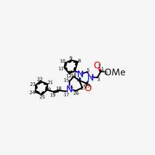 COC(=O)CN1CN(c2ccccc2)C2(CCN(CC=Cc3ccccc3)CC2)C1=O